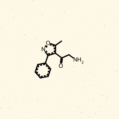 Cc1onc(-c2ccccc2)c1C(=O)CN